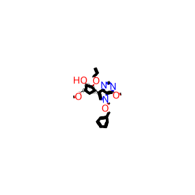 C=CCO[C@@H]1[C@H](O)[C@@H](COC)C[C@H]1c1cn(COCc2ccccc2)c2c(OC)ncnc12